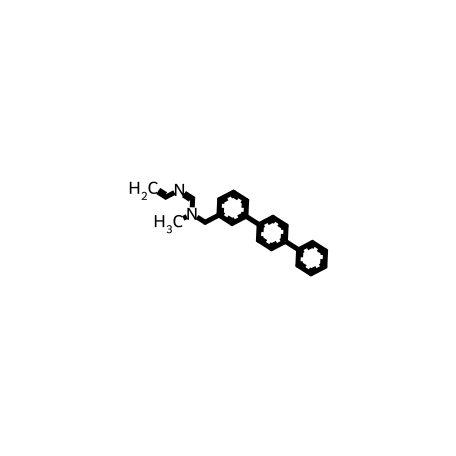 C=C/N=C\N(C)Cc1cccc(-c2ccc(-c3ccccc3)cc2)c1